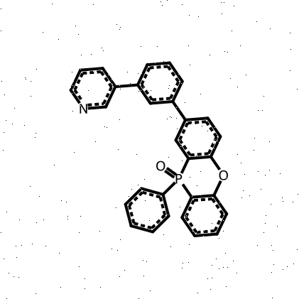 O=P1(c2ccccc2)c2ccccc2Oc2ccc(-c3cccc(-c4cccnc4)c3)cc21